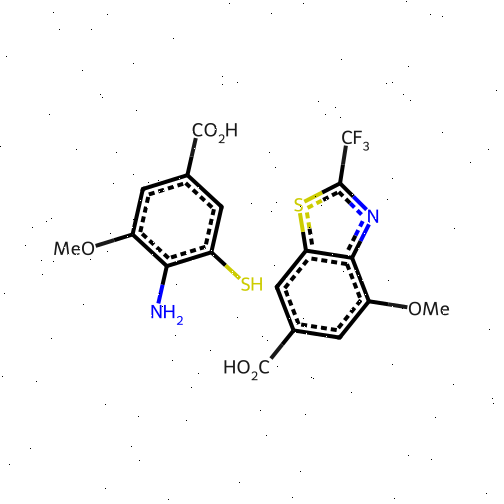 COc1cc(C(=O)O)cc(S)c1N.COc1cc(C(=O)O)cc2sc(C(F)(F)F)nc12